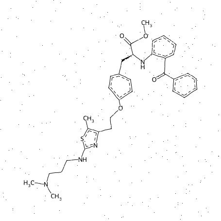 COC(=O)[C@H](Cc1ccc(OCCc2nc(NCCCN(C)C)sc2C)cc1)Nc1ccccc1C(=O)c1ccccc1